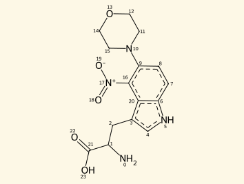 NC(Cc1c[nH]c2ccc(N3CCOCC3)c([N+](=O)[O-])c12)C(=O)O